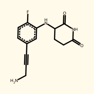 NCC#Cc1ccc(F)c(NC2CCC(=O)NC2=O)c1